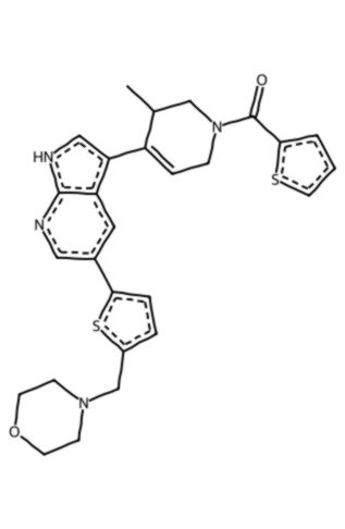 CC1CN(C(=O)c2cccs2)CC=C1c1c[nH]c2ncc(-c3ccc(CN4CCOCC4)s3)cc12